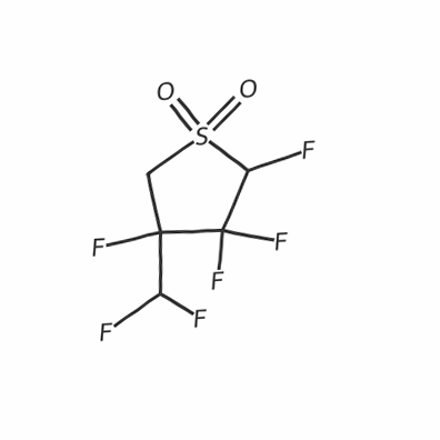 O=S1(=O)CC(F)(C(F)F)C(F)(F)C1F